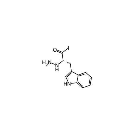 NN[C@@H](Cc1c[nH]c2ccccc12)C(=O)I